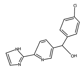 OC(c1ccc(Cl)cc1)c1ccc(-c2ncc[nH]2)nc1